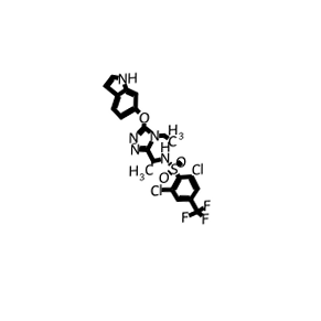 CCn1c(Oc2ccc3cc[nH]c3c2)nnc1[C@@H](C)NS(=O)(=O)c1c(Cl)cc(C(F)(F)F)cc1Cl